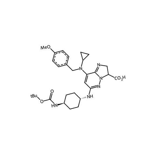 COc1ccc(CN(C2=CC(N[C@H]3CC[C@H](NC(=O)OC(C)(C)C)CC3)=NN3C2=NCC3C(=O)O)C2CC2)cc1